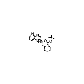 CC(C)(C)OC(=O)N1CCCCC1CNc1cnc2ncccc2n1